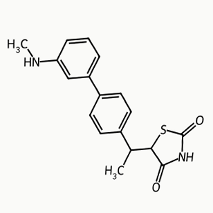 CNc1cccc(-c2ccc(C(C)C3SC(=O)NC3=O)cc2)c1